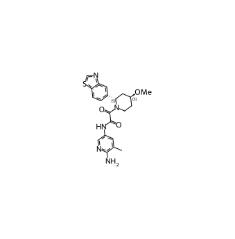 CO[C@H]1CCN(C(=O)C(=O)Nc2cnc(N)c(C)c2)[C@H](c2ccc3scnc3c2)C1